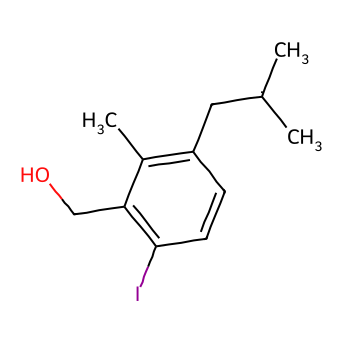 C[C](C)Cc1ccc(I)c(CO)c1C